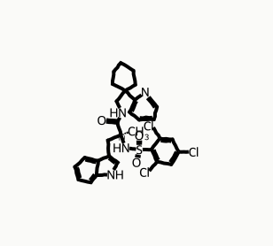 C[C@@](Cc1c[nH]c2ccccc12)(NS(=O)(=O)c1c(Cl)cc(Cl)cc1Cl)C(=O)NCC1(c2ccccn2)CCCCC1